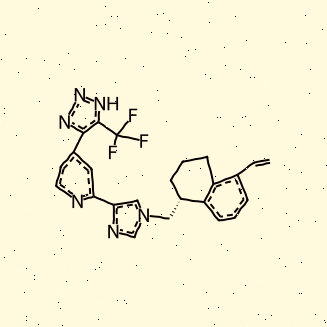 C=Cc1cccc2c1CCC[C@H]2Cn1cnc(-c2cc(-c3nn[nH]c3C(F)(F)F)ccn2)c1